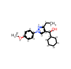 CCc1nn(-c2ccc(OC)cc2)cc1C(O)C1CCCCC1